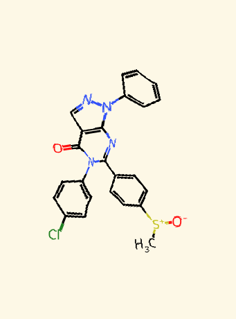 C[S+]([O-])c1ccc(-c2nc3c(cnn3-c3ccccc3)c(=O)n2-c2ccc(Cl)cc2)cc1